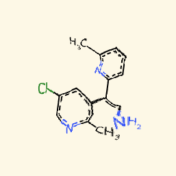 Cc1cccc(/C(=C/N)c2cc(Cl)cnc2C)n1